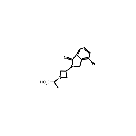 CC(C(=O)O)N1CC(N2Cc3c(Br)cccc3C2=O)C1